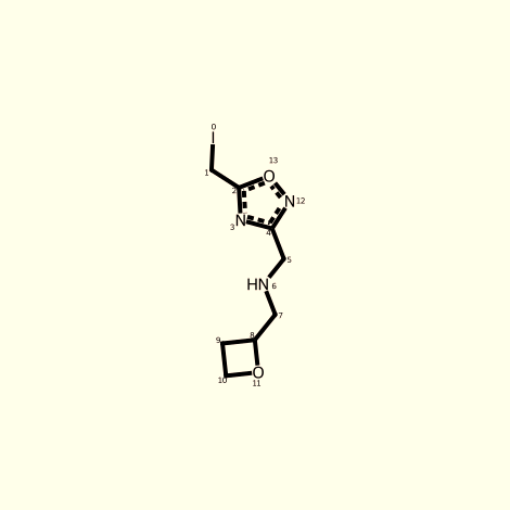 ICc1nc(CNCC2CCO2)no1